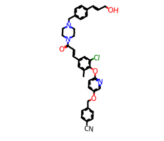 Cc1cc(C=CC(=O)N2CCN(Cc3ccc(C=CCO)cc3)CC2)cc(Cl)c1Oc1ccc(OCc2ccc(C#N)cc2)cn1